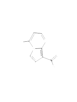 Cc1ccnc2c(C(N)=O)ccn12